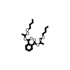 CCCCOOC(C)OC(=O)c1ccccc1C(=O)OC(C)OOCCCC